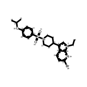 CCn1cc(C2CCN(S(=O)(=O)c3ccc(OC(C)C)cc3)CC2)c2ccc(Br)nc21